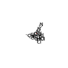 CCOc1ccccc1C1(NC(=O)N2CCN(C3CCN(C)CC3)CC2)C(=O)N(S(=O)(=O)c2c(C)cc(C)cc2C)c2ccc(Cl)cc21.Cl.Cl